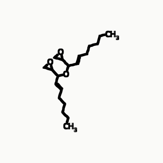 CCCCC/C=C/C(OC(/C=C/CCCCC)C1CO1)C1CO1